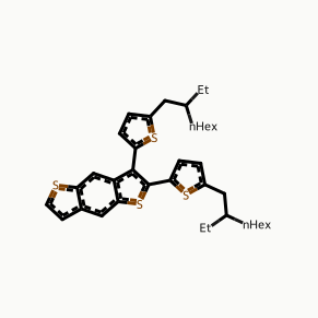 CCCCCCC(CC)Cc1ccc(-c2sc3cc4ccsc4cc3c2-c2ccc(CC(CC)CCCCCC)s2)s1